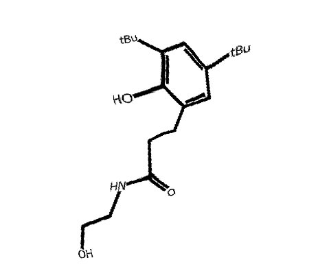 CC(C)(C)c1cc(CCC(=O)NCCO)c(O)c(C(C)(C)C)c1